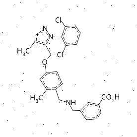 Cc1cc(OCc2c(C)cnn2-c2c(Cl)cccc2Cl)ccc1CNCc1cccc(C(=O)O)c1